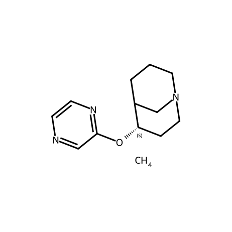 C.c1cnc(O[C@H]2CCN3CCCC2C3)cn1